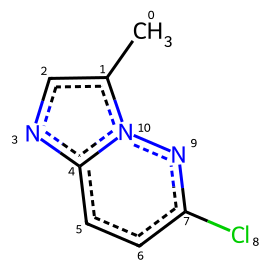 Cc1cnc2ccc(Cl)nn12